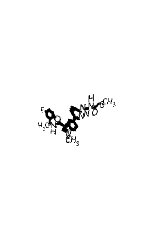 COCC(=O)Nc1nc2ccc(-c3ccc4c(c3)c(C(=O)N[C@@H](C)c3cccc(F)c3)cn4C)cn2n1